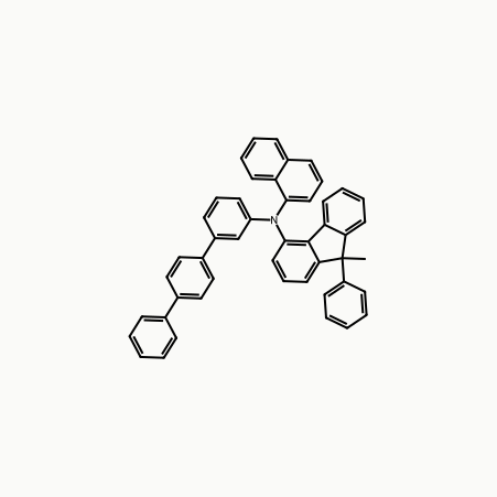 CC1(c2ccccc2)c2ccccc2-c2c(N(c3cccc(-c4ccc(-c5ccccc5)cc4)c3)c3cccc4ccccc34)cccc21